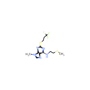 CSCCNc1nc(SCCC(F)(F)F)nc2c1ncn2C